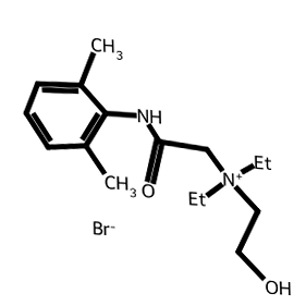 CC[N+](CC)(CCO)CC(=O)Nc1c(C)cccc1C.[Br-]